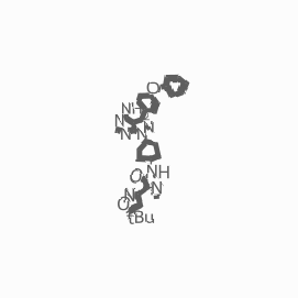 CN(C)[C@@H](C(=O)N[C@H]1CC[C@@H](n2nc(-c3ccc(Oc4ccccc4)cc3)c3c(N)ncnc32)CC1)c1cc(C(C)(C)C)on1